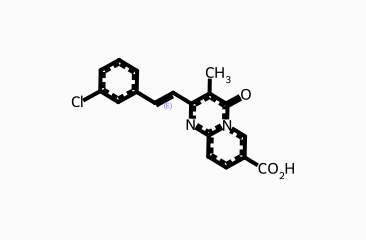 Cc1c(/C=C/c2cccc(Cl)c2)nc2ccc(C(=O)O)cn2c1=O